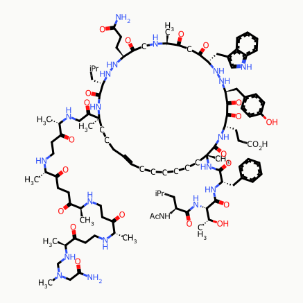 CC(=O)N[C@@H](CC(C)C)C(=O)N[C@H](C(=O)N[C@@H](Cc1ccccc1)C(=O)N[C@]1(C)CCCCCC/C=C/CCC[C@@](C)(C(=O)CN[C@@H](C)C(=O)CCN[C@@H](C)C(=O)CCC(=O)[C@H](C)NCCC(=O)[C@H](C)NCCC(=O)[C@H](C)NCN(C)CC(N)=O)NC(=O)[C@H](CC(C)C)NN[C@@H](CCC(N)=O)C(=O)CN[C@@H](C)C(=O)CC(=O)[C@H](Cc2c[nH]c3ccccc23)NN[C@@H](Cc2ccc(O)cc2)C(=O)C(=O)[C@H](CCC(=O)O)NC1=O)[C@@H](C)O